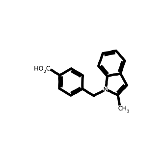 Cc1cc2ccccc2n1Cc1ccc(C(=O)O)cc1